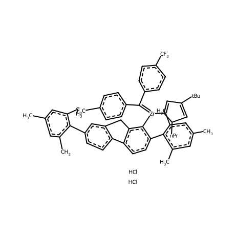 CCCC1C=C(C(C)(C)C)C=[C]1[Zr](=[C](c1ccc(C(F)(F)F)cc1)c1ccc(C(F)(F)F)cc1)[c]1c(-c2c(C)cc(C)cc2C)ccc2c1Cc1cc(-c3c(C)cc(C)cc3C)ccc1-2.Cl.Cl